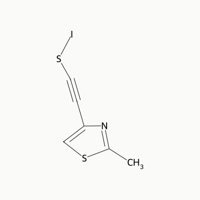 Cc1nc(C#CSI)cs1